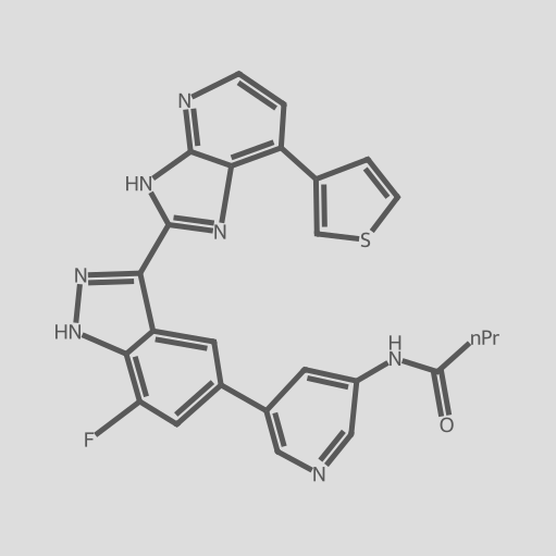 CCCC(=O)Nc1cncc(-c2cc(F)c3[nH]nc(-c4nc5c(-c6ccsc6)ccnc5[nH]4)c3c2)c1